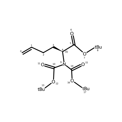 C=CCC[C@@H](C(=O)OC(C)(C)C)N(C(=O)OC(C)(C)C)C(=O)OC(C)(C)C